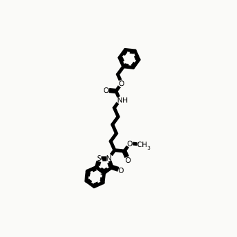 COC(=O)C(CCCCCNC(=O)OCc1ccccc1)n1sc2ccccc2c1=O